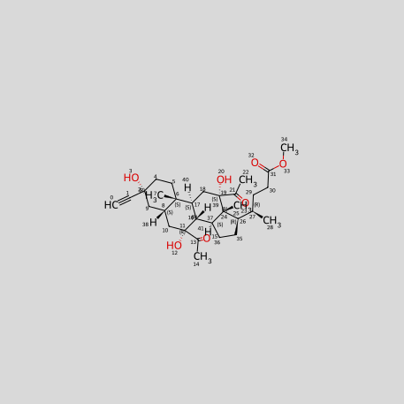 C#C[C@@]1(O)CC[C@@]2(C)[C@@H](C1)C[C@](O)(C(C)=O)[C@@H]1[C@@H]2C[C@@](O)(C(C)=O)[C@]2(C)[C@@H]([C@H](C)CCC(=O)OC)CC[C@@H]12